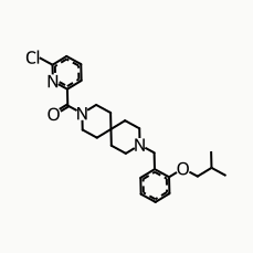 CC(C)COc1ccccc1CN1CCC2(CC1)CCN(C(=O)c1cccc(Cl)n1)CC2